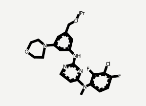 CC(C)OCc1cc(Nc2nccc(N(C)c3ccc(F)c(Cl)c3F)n2)cc(N2CCOCC2)c1